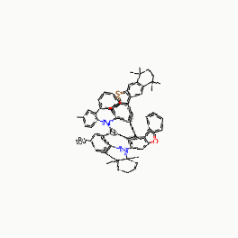 Cc1ccc(N2B3c4cc(C(C)(C)C)cc5c4N(c4cc6oc7ccccc7c6c(c43)-c3cc4c(cc32)sc2cc3c(cc24)C(C)(C)CCC3(C)C)C2(C)CCCCC52C)c(-c2ccccc2)c1